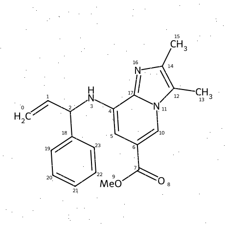 C=CC(Nc1cc(C(=O)OC)cn2c(C)c(C)nc12)c1ccccc1